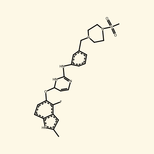 Cc1cc2c(F)c(OC3C=CN=C(Nc4cccc(CN5CCN(S(C)(=O)=O)CC5)c4)N3)ccc2[nH]1